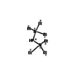 CC[Si](CC)(CC)P[Si](CC)(CC)CC